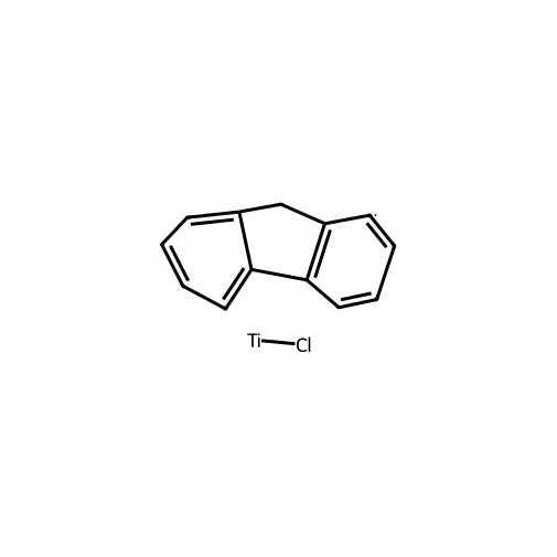 [Cl][Ti].[c]1cccc2c1Cc1ccccc1-2